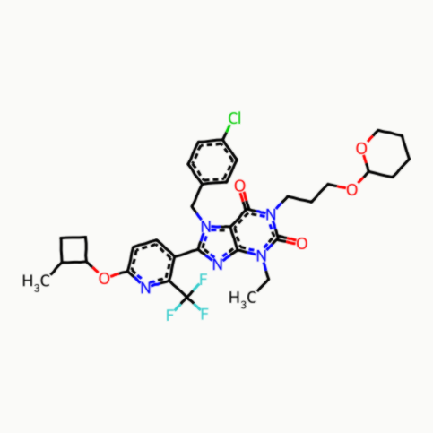 CCn1c(=O)n(CCCOC2CCCCO2)c(=O)c2c1nc(-c1ccc(OC3CCC3C)nc1C(F)(F)F)n2Cc1ccc(Cl)cc1